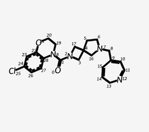 O=C(N1CC2(CCN(CC3=CC=NCC=C3)C2)C1)N1CCOc2cc(Cl)ccc21